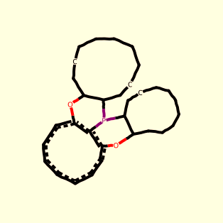 c1cccc2c3c(ccc1)OC1CCCCCCCCCC1P3C1CCCCCCCCCC1O2